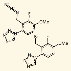 COc1ccc(-n2cnnn2)c(CBr)c1F.COc1ccc(-n2cnnn2)c(CN=[N+]=[N-])c1F